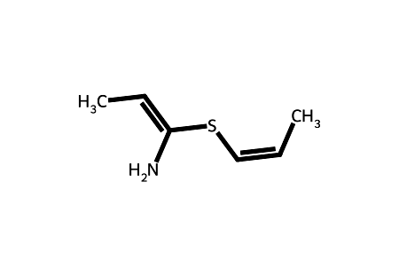 C/C=C\S/C(N)=C/C